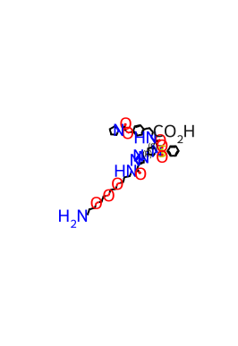 NCCCOCCOCCOCCCNC(=O)c1cn([C@@H]2C[C@@H](C(=O)NC(Cc3ccc(OC(=O)N4CCCC4)cc3)C(=O)O)N(S(=O)(=O)c3ccccc3)C2)nn1